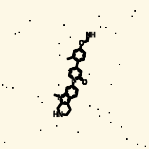 Cc1cc(OC=N)ccc1-c1ccn(-c2ccc3c4c(n(C)c3c2)CNCC4)c(=O)c1